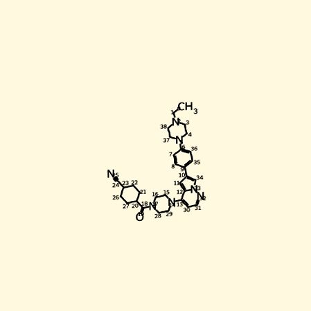 CCN1CCN(c2ccc(-c3cc4c(N5CCN(C(=O)C6CCC(C#N)CC6)CC5)ccnn4c3)cc2)CC1